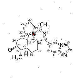 Cc1nc(-c2ccc3nccn3c2)c2c(n1)[C@@]1(c3ccccc3)CCC(=O)[C@@H](C)[C@@H]1CC2